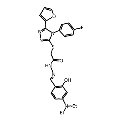 CCN(CC)c1ccc(C=NNC(=O)CSc2nnc(-c3ccco3)n2-c2ccc(F)cc2)c(O)c1